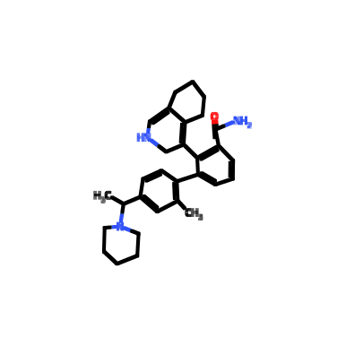 Cc1cc(C(C)N2CCCCC2)ccc1-c1cccc(C(N)=O)c1C1=C2CCCCC2=CNC1